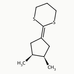 C[C@@H]1CC(=C2SCCCS2)C[C@@H]1C